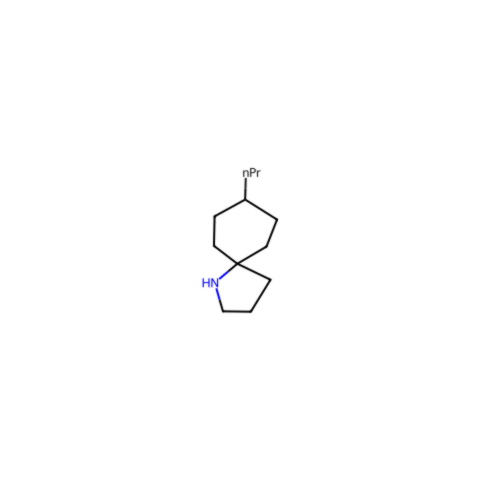 CCCC1CCC2(CCCN2)CC1